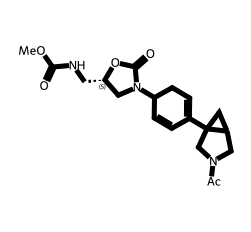 COC(=O)NC[C@H]1CN(C2C=CC(C34CC3CN(C(C)=O)C4)=CC2)C(=O)O1